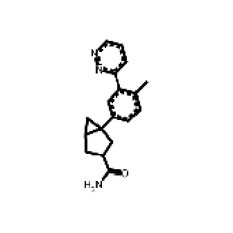 Cc1ccc(C23CC(C(N)=O)CC2C3)cc1-c1cccnn1